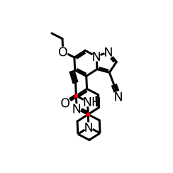 C#CC(=O)NC1CC2CC(C1)N2c1ccc(-c2cc(OCC)cn3ncc(C#N)c23)cn1